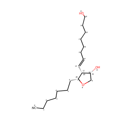 N#CCCCCCC[C@H]1OC[C@@H](O)[C@H]1C=CCCCCCCO